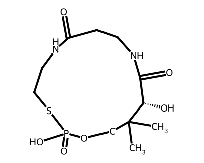 CC1(C)COP(=O)(O)SCCNC(=O)CCNC(=O)[C@@H]1O